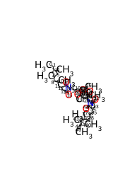 CCCC(C)CC(C)/C=C(\C)CC1CC(=O)N(CCC[Si](C)(OC)O[Si](C)(CCCN2C(=O)CC(C/C(C)=C/C(C)CC(C)CCC)C2=O)OC)C1=O